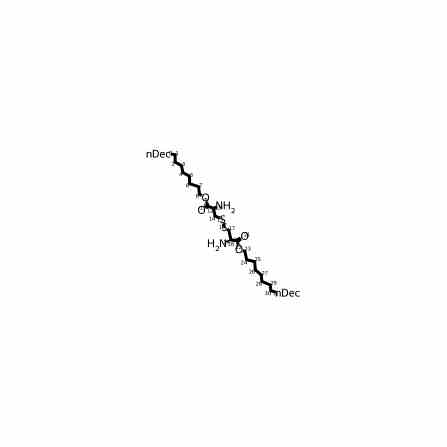 CCCCCCCCCCCCCCCCCCOC(=O)C(N)CSSC[C@H](N)C(=O)OCCCCCCCCCCCCCCCCCC